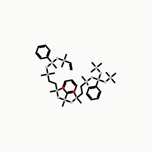 C=C[Si](C)(C)O[Si](C)(O[Si](C)(C)CC[Si](C)(C)O[Si](C)(O[Si](C)(C)CC[Si](C)(C)O[Si](O[Si](C)(C)C)(O[Si](C)(C)C)c1ccccc1)c1ccccc1)c1ccccc1